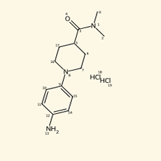 CN(C)C(=O)C1CCN(c2ccc(N)cc2)CC1.Cl.Cl